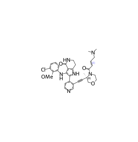 COc1c(Cl)cccc1Nc1c(-c2ccncc2C#C[C@]2(C)COCCN2C(=O)/C=C/CN(C)C)[nH]c2c1C(=O)NCC2